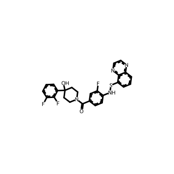 O=C(c1ccc(NSc2cccc3nccnc23)c(F)c1)N1CCC(O)(c2cccc(F)c2F)CC1